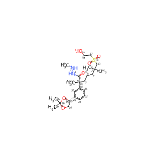 CNNC(=O)[C@](C)(CCCC(C)(C)CS(=O)(=O)CCO)c1cccc([C@@H]2COC(C)(C)O2)c1